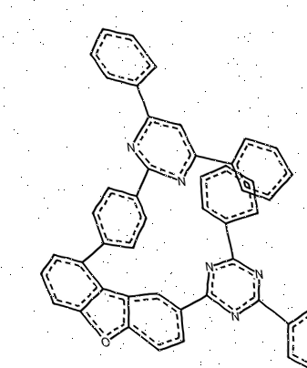 c1ccc(-c2cc(-c3ccccc3)nc(-c3ccc(-c4cccc5oc6ccc(-c7nc(-c8ccccc8)nc(-c8ccccc8)n7)cc6c45)cc3)n2)cc1